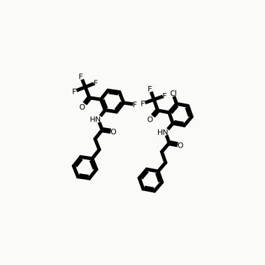 O=C(CCc1ccccc1)Nc1cc(F)ccc1C(=O)C(F)(F)F.O=C(CCc1ccccc1)Nc1cccc(Cl)c1C(=O)C(F)(F)F